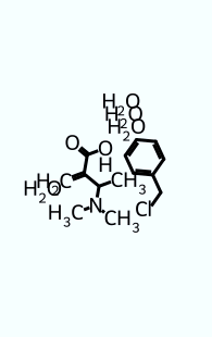 C=C(C(=O)O)C(C)N(C)C.ClCc1ccccc1.O.O.O.O